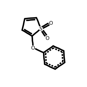 O=S1(=O)C=CC=C1Oc1ccccc1